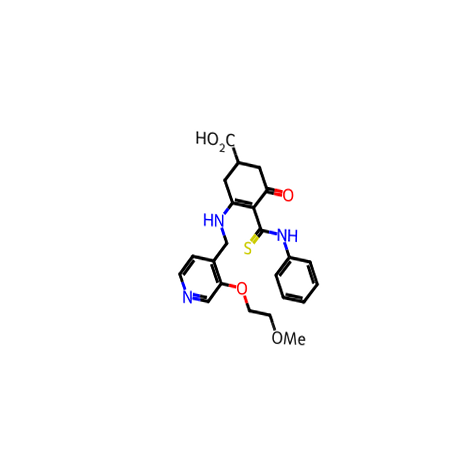 COCCOc1cnccc1CNC1=C(C(=S)Nc2ccccc2)C(=O)CC(C(=O)O)C1